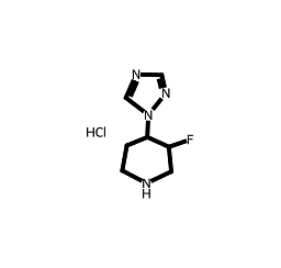 Cl.FC1CNCCC1n1cncn1